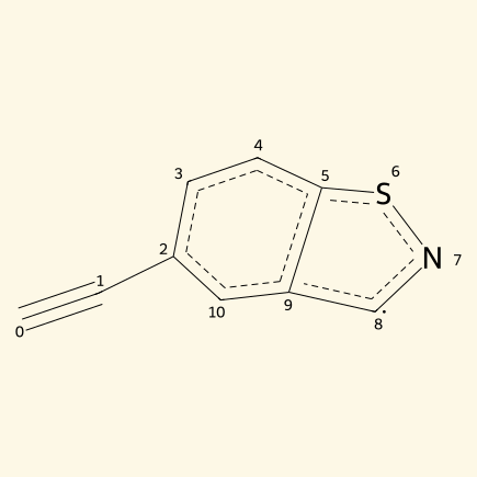 C#Cc1ccc2sn[c]c2c1